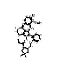 C=CC(=O)N1CC(C)(C)C[C@@H]1COc1cnccc1-c1[nH]c2c(c1Nc1cccc(Cl)c1OC)C(=O)NCC2